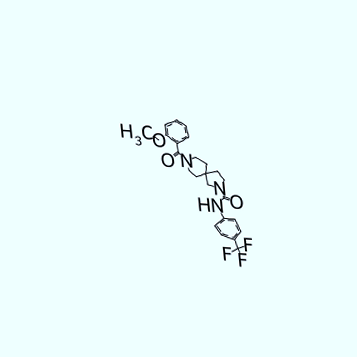 COc1ccccc1C(=O)N1CCC2(CCN(C(=O)Nc3ccc(C(F)(F)F)cc3)C2)CC1